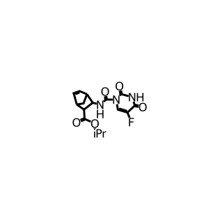 CC(C)OC(=O)C1C2C=CC(C2)C1NC(=O)n1cc(F)c(=O)[nH]c1=O